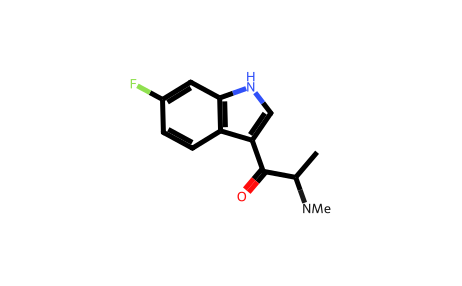 CNC(C)C(=O)c1c[nH]c2cc(F)ccc12